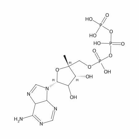 C[C@]1(COP(=O)(O)OP(=O)(O)OP(=O)(O)O)O[C@@H](N2C=NC3C(N)=NC=NC32)C(O)[C@H]1O